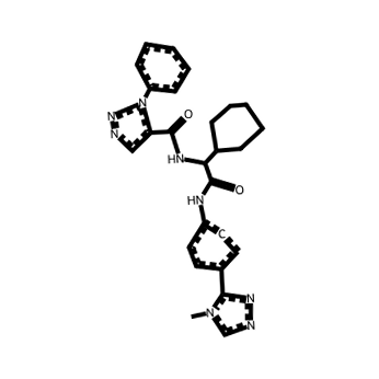 Cn1cnnc1-c1ccc(NC(=O)C(NC(=O)c2cnnn2-c2ccccc2)C2CCCCC2)cc1